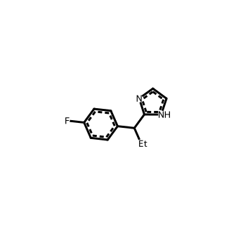 CCC(c1ccc(F)cc1)c1ncc[nH]1